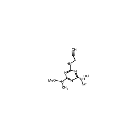 C#CCNc1nc(NCCC)nc(N(C)OC)n1.Cl